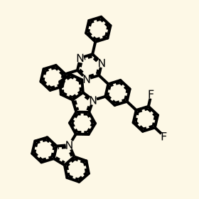 Fc1ccc(-c2ccc(-c3nc(-c4ccccc4)nc(-c4ccccc4)n3)c(-n3c4ccccc4c4cc(-n5c6ccccc6c6ccccc65)ccc43)c2)c(F)c1